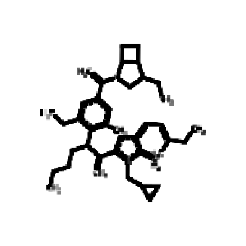 C=C(c1c/c(=C/C=C(\C)CC)c(=C)n1CC1CC1)C(CCCC)c1c(C)cc(C(=C)N2CC(CN)C3CCC32)cc1CC